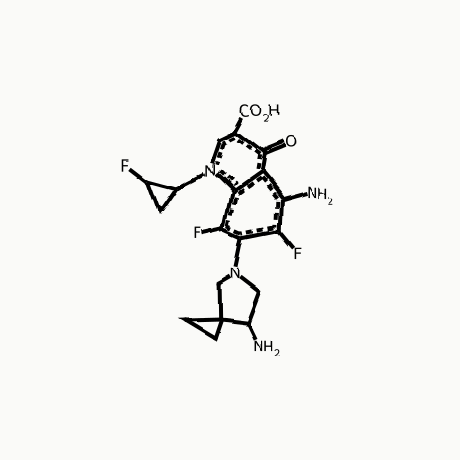 Nc1c(F)c(N2CC(N)C3(CC3)C2)c(F)c2c1c(=O)c(C(=O)O)cn2C1CC1F